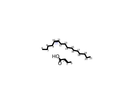 CC=CC(=O)O.CCCC/C=C\CCCCCCCCCC